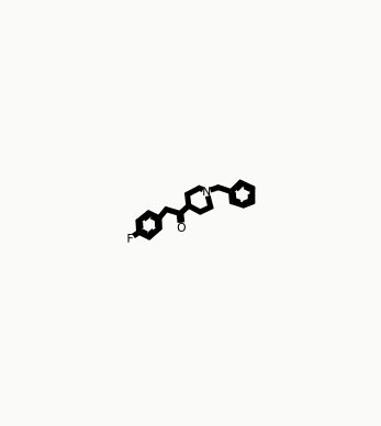 O=C(Cc1ccc(F)cc1)C1CCN(Cc2ccccc2)CC1